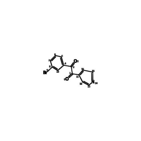 O=C(C(=O)c1cccc(Br)c1)c1ccncc1